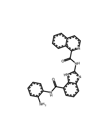 Nc1ccccc1NC(=O)c1cccc2nc(NC(=O)c3nccc4ccccc34)[nH]c12